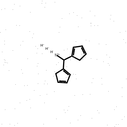 [H-].[H-].[H-].[Ti+3][CH](C1=CC=CC1)C1=CC=CC1